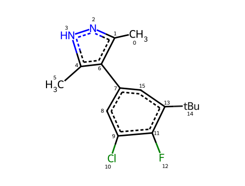 Cc1n[nH]c(C)c1-c1cc(Cl)c(F)c(C(C)(C)C)c1